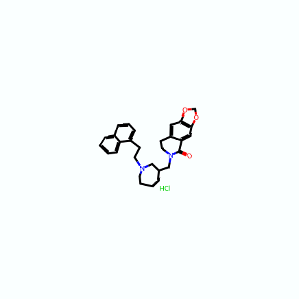 Cl.O=C1c2cc3c(cc2CCN1CC1CCCCN(CCc2cccc4ccccc24)C1)OCO3